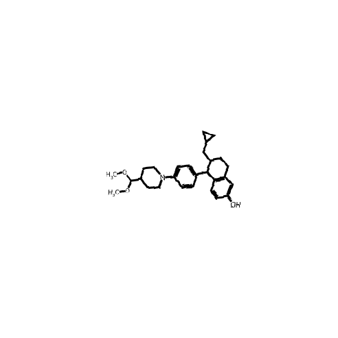 COC(OC)C1CCN(c2ccc(C3c4ccc(O)cc4CCC3CC3CC3)cc2)CC1